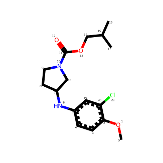 COc1ccc(NC2CCN(C(=O)OCC(C)C)C2)cc1Cl